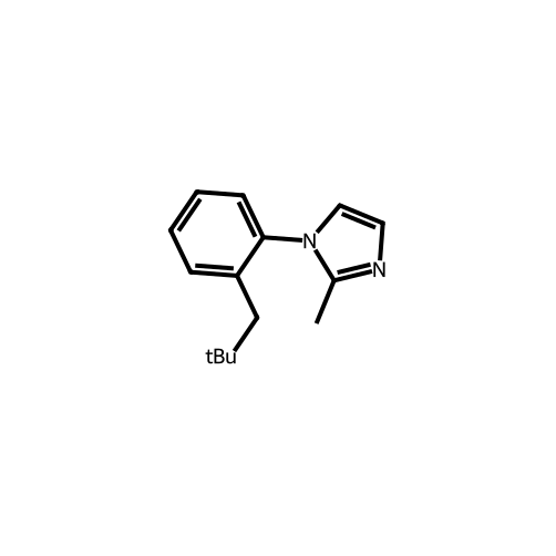 Cc1nccn1-c1ccccc1CC(C)(C)C